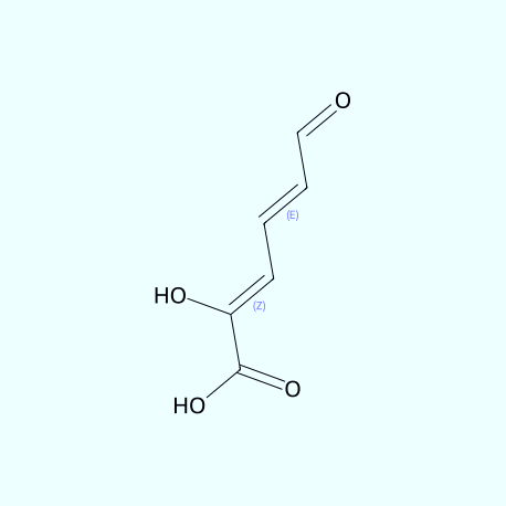 O=C/C=C/C=C(\O)C(=O)O